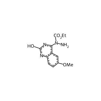 CCOC(=O)N(N)c1nc(O)nc2ccc(OC)cc12